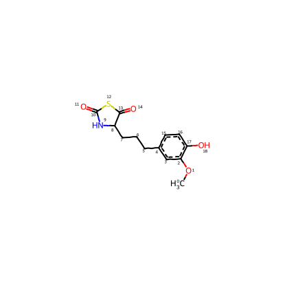 COc1cc(CCCC2NC(=O)SC2=O)ccc1O